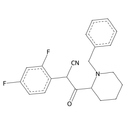 N#CC(C(=O)C1CCCCN1Cc1ccccc1)c1ccc(F)cc1F